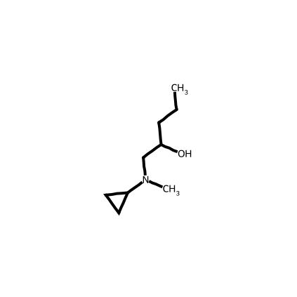 CCCC(O)CN(C)C1CC1